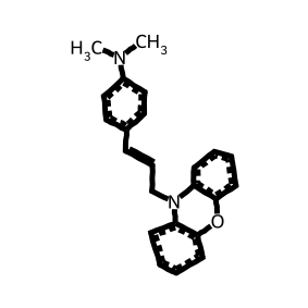 CN(C)c1ccc(/C=C/CN2c3ccccc3Oc3ccccc32)cc1